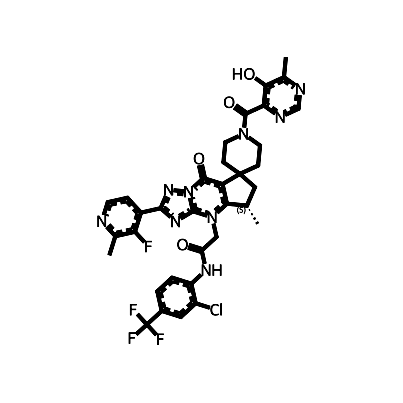 Cc1ncnc(C(=O)N2CCC3(CC2)C[C@H](C)c2c3c(=O)n3nc(-c4ccnc(C)c4F)nc3n2CC(=O)Nc2ccc(C(F)(F)F)cc2Cl)c1O